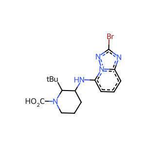 CC(C)(C)C1C(Nc2cccc3nc(Br)nn23)CCCN1C(=O)O